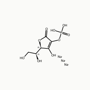 O=C1O[C@H]([C@@H](O)CO)C(O)=C1OP(=O)(O)O.[Na].[Na].[Na]